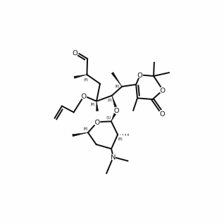 C=CCO[C@](C)(C[C@@H](C)C=O)[C@H](O[C@@H]1O[C@H](C)CC(N(C)C)[C@H]1C)[C@@H](C)C1=C(C)C(=O)OC(C)(C)O1